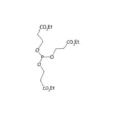 CCOC(=O)CCOP(OCCC(=O)OCC)OCCC(=O)OCC